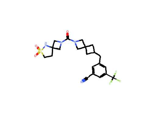 N#Cc1cc(CC2CC3(C2)CN(C(=O)N2CC4(CCS(=O)(=O)N4)C2)C3)cc(C(F)(F)F)c1